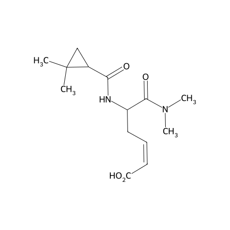 CN(C)C(=O)C(C/C=C\C(=O)O)NC(=O)C1CC1(C)C